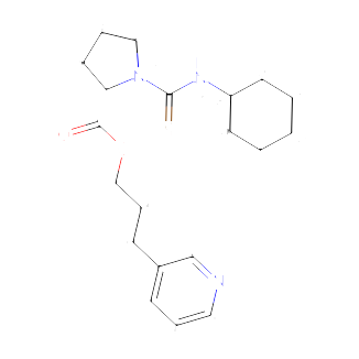 O=C(OCCCc1cccnc1)[C@@H]1CCCN1C(=S)NC1CCCCC1